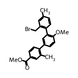 COC(=O)c1ccc(-c2ccc(OC)c(-c3ccc(C)cc3CBr)c2)c(C)c1